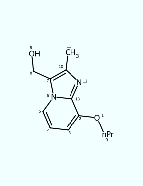 CCCOc1cccn2c(CO)c(C)nc12